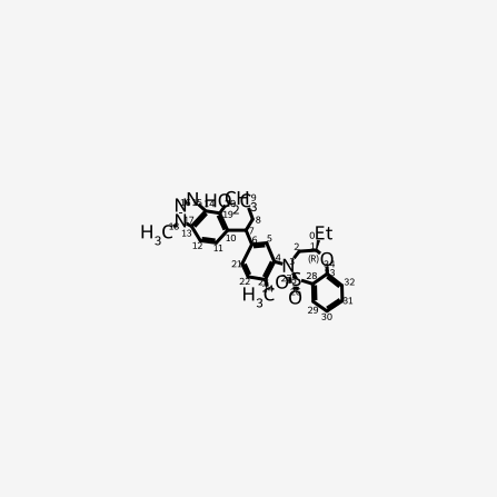 CC[C@@H]1CN(c2cc(C(CC(=O)O)c3ccc4c(nnn4C)c3C)ccc2C)S(=O)(=O)c2ccccc2O1